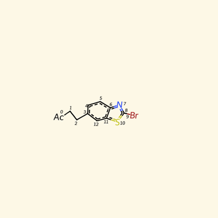 CC(=O)CCc1ccc2nc(Br)sc2c1